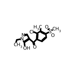 CCn1ncc(C(=O)c2ccc(S(C)(=O)=O)c(C)c2Cl)c1O